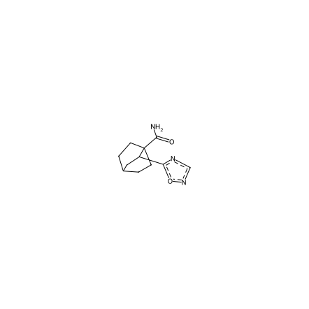 NC(=O)C12CCC(CC1)CC2c1ncno1